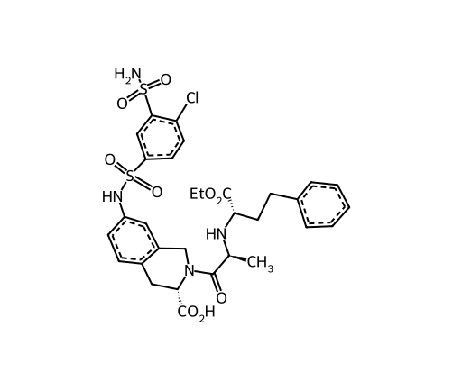 CCOC(=O)[C@H](CCc1ccccc1)N[C@@H](C)C(=O)N1Cc2cc(NS(=O)(=O)c3ccc(Cl)c(S(N)(=O)=O)c3)ccc2C[C@H]1C(=O)O